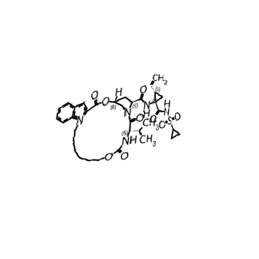 C=C[C@@H]1C[C@]1(NC(=O)[C@@H]1C[C@@H]2CN1C(=O)[C@H](C(C)C)NC(=O)OCCCCCCn1c(cc3ccccc31)C(=O)O2)C(=O)NS(=O)(=O)C1CC1